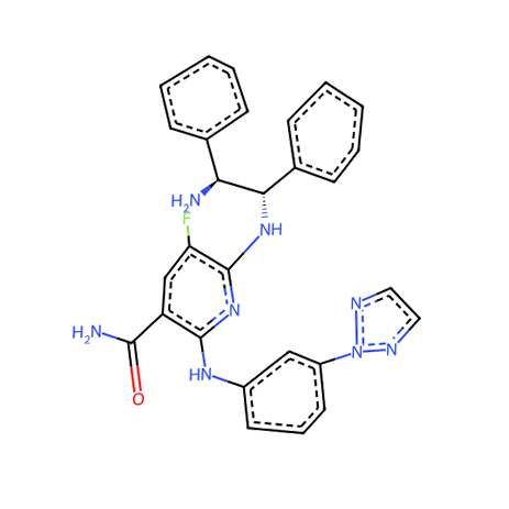 NC(=O)c1cc(F)c(N[C@@H](c2ccccc2)[C@@H](N)c2ccccc2)nc1Nc1cccc(-n2nccn2)c1